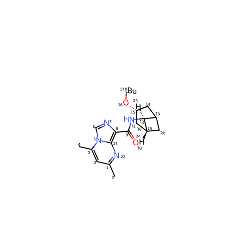 Cc1cc(C)n2cnc(C(=O)N[C@H]3C4C[C@@H](OC(C)(C)C)C[C@H]3C4)c2n1